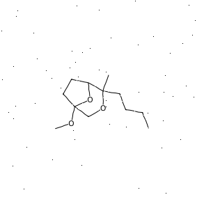 CCCCC1(C)OCC2(OC)CCC1O2